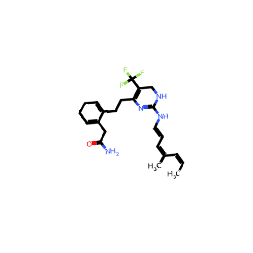 C\C=C/C(C)=C\C=C\NC1=NC(CCC2=CCCC=C2CC(N)=O)=C(C(F)(F)F)CN1